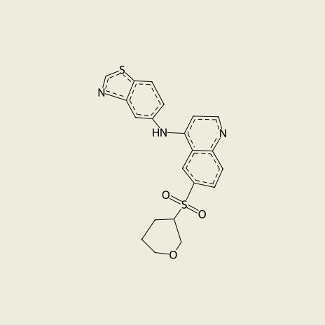 O=S(=O)(c1ccc2nccc(Nc3ccc4scnc4c3)c2c1)C1CCCOC1